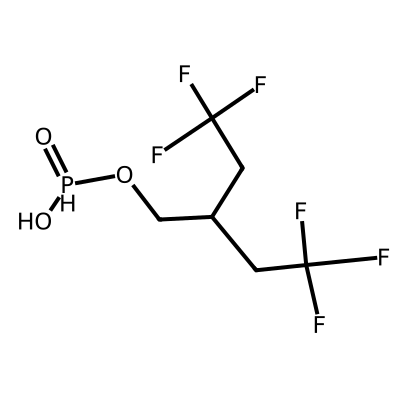 O=[PH](O)OCC(CC(F)(F)F)CC(F)(F)F